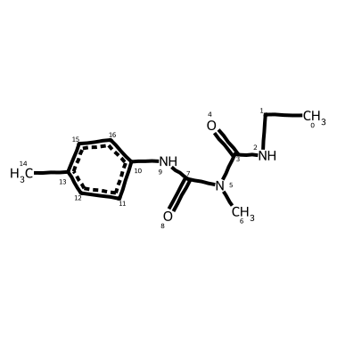 CCNC(=O)N(C)C(=O)Nc1ccc(C)cc1